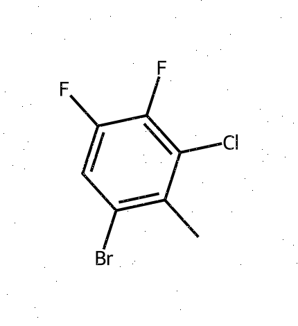 Cc1c(Br)cc(F)c(F)c1Cl